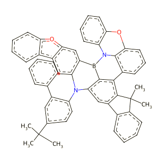 CC(C)(C)c1ccc(N2c3cc4c(cc3B3c5c2cc2c(c5-c5cccc6c5N3c3ccccc3O6)C(C)(C)c3ccccc3-2)oc2ccccc24)c(-c2ccccc2)c1